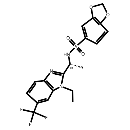 CCn1c([C@@H](C)NS(=O)(=O)c2ccc3c(c2)OCO3)nc2ccc(C(F)(F)F)cc21